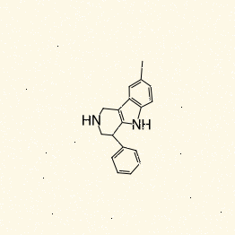 Cc1ccc2[nH]c3c(c2c1)CNCC3c1ccccc1